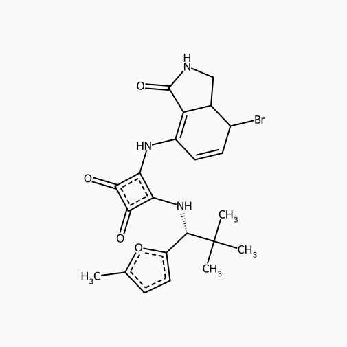 Cc1ccc([C@H](Nc2c(NC3=C4C(=O)NCC4C(Br)C=C3)c(=O)c2=O)C(C)(C)C)o1